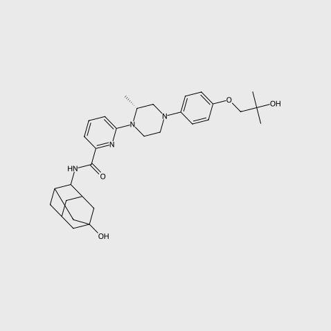 C[C@@H]1CN(c2ccc(OCC(C)(C)O)cc2)CCN1c1cccc(C(=O)NC2C3CC4CC2CC(O)(C4)C3)n1